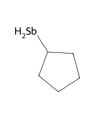 [SbH2][CH]1CCCC1